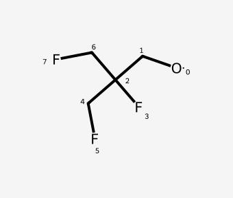 [O]CC(F)(CF)CF